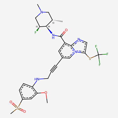 COc1cc(S(C)(=O)=O)ccc1NCC#Cc1cc(C(=O)N[C@@H]2[C@@H](C)CN(C)C[C@@H]2F)c2ncc(SC(F)(F)F)n2c1